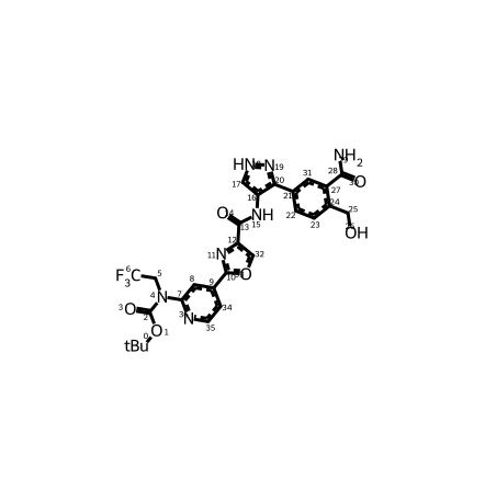 CC(C)(C)OC(=O)N(CC(F)(F)F)c1cc(-c2nc(C(=O)Nc3c[nH]nc3-c3ccc(CO)c(C(N)=O)c3)co2)ccn1